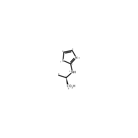 C[C@@H](Nc1nccs1)C(=O)O